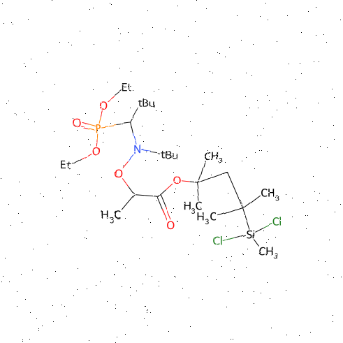 CCOP(=O)(OCC)C(N(OC(C)C(=O)OC(C)(C)CC(C)(C)[Si](C)(Cl)Cl)C(C)(C)C)C(C)(C)C